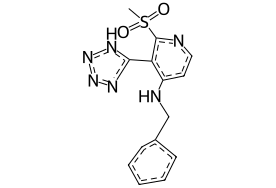 CS(=O)(=O)c1nccc(NCc2ccccc2)c1-c1nnn[nH]1